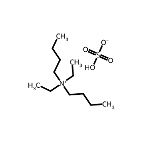 CCCC[N+](CC)(CC)CCCC.O=S(=O)([O-])O